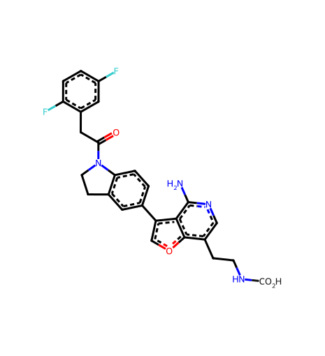 Nc1ncc(CCNC(=O)O)c2occ(-c3ccc4c(c3)CCN4C(=O)Cc3cc(F)ccc3F)c12